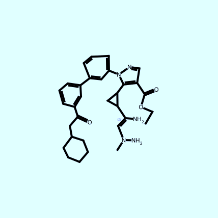 CCOC(=O)c1cnn(-c2cccc(-c3cccc(C(=O)CC4CCCCC4)c3)c2)c1C1CC1/C(N)=C/N(C)N